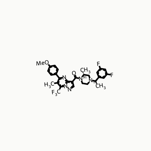 COc1ccc(-c2nc3c(C(=O)N4CCN([C@H](C)c5cc(F)cc(F)c5)C[C@H]4C)cnn3c(C(F)(F)F)c2C)cc1